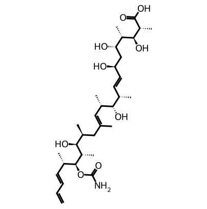 C=CC=C[C@H](C)[C@H](OC(N)=O)[C@@H](C)[C@@H](O)[C@@H](C)CC(C)=C[C@H](C)[C@@H](O)[C@@H](C)C=C[C@@H](O)C[C@H](O)[C@H](C)[C@H](O)[C@@H](C)C(=O)O